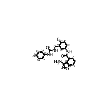 Nc1noc2cccc(C(=O)Nc3ccc(F)c(CNC(=O)Nc4ccc(F)cc4)c3)c12